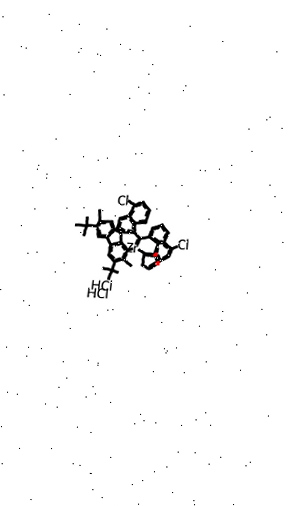 Cc1cc2c(cc1C(C)(C)C)-c1cc(C(C)(C)C)c(C)[c]([Zr]([C]3=CC=CC3)=[C](c3cccc4c(Cl)cccc34)c3cccc4c(Cl)cccc34)c1C2.Cl.Cl